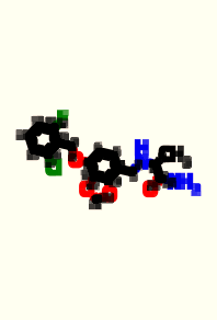 C[C@H](NCc1ccc(OCc2c(F)cccc2Cl)c2c1OCO2)C(N)=O